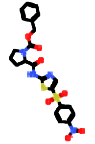 O=C(Nc1ncc(S(=O)(=O)c2ccc([N+](=O)[O-])cc2)s1)C1CCCN1C(=O)OCc1ccccc1